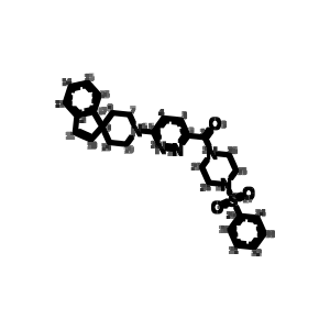 O=C(c1ccc(N2CCC3(C=Cc4ccccc43)CC2)nn1)N1CCN(S(=O)(=O)c2ccccc2)CC1